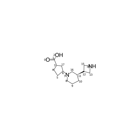 O=C(O)C1CCC(N2CCC[C@H](C3CNC3)C2)C1